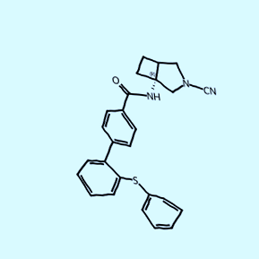 N#CN1CC2CC[C@]2(NC(=O)c2ccc(-c3ccccc3Sc3ccccc3)cc2)C1